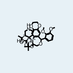 COc1cccc(C2OCC(=O)[N@@+](CC(C)(C)C)([C@@]3(C(=O)O)CCNC[C@@H]3C(C)=O)c3cc4c(cc32)OCCO4)c1OC